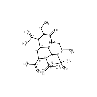 C=CCNC(=C)C(CC)C(C(=C)P)C1CC(CC(C)(C)C)C(C(C)=N)C(C(=C)C)C1